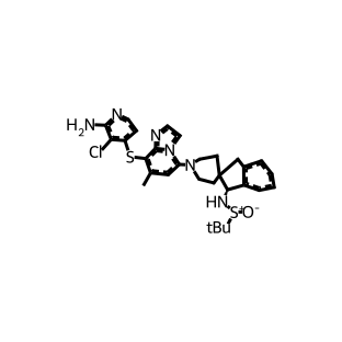 Cc1cc(N2CCC3(CC2)Cc2ccccc2[C@H]3N[S+]([O-])C(C)(C)C)n2ccnc2c1Sc1ccnc(N)c1Cl